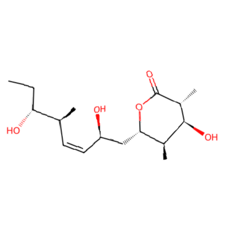 CC[C@@H](O)[C@@H](C)/C=C\[C@@H](O)C[C@@H]1OC(=O)[C@H](C)[C@@H](O)[C@H]1C